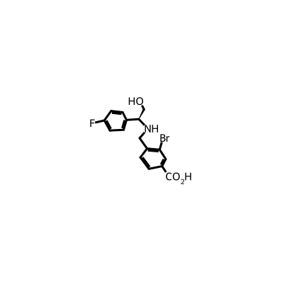 O=C(O)c1ccc(CN[C@H](CO)c2ccc(F)cc2)c(Br)c1